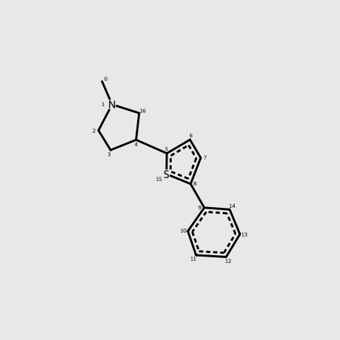 CN1CCC(c2ccc(-c3ccccc3)s2)C1